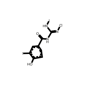 O=C(NC(=NCl)NI)c1ccc(O)c(I)c1